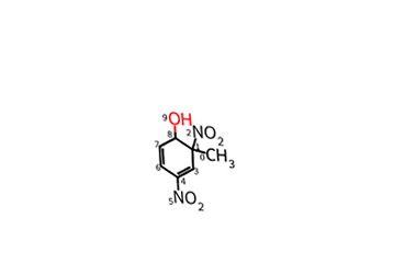 CC1([N+](=O)[O-])C=C([N+](=O)[O-])C=CC1O